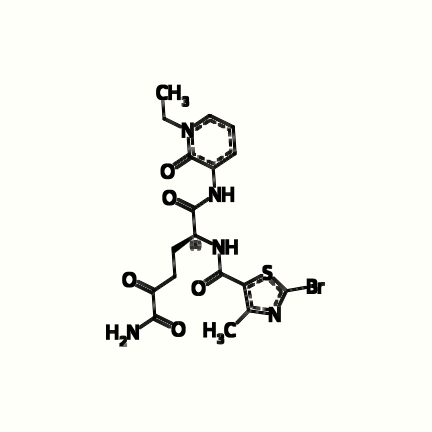 CCn1cccc(NC(=O)[C@H](CCC(=O)C(N)=O)NC(=O)c2sc(Br)nc2C)c1=O